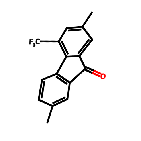 Cc1ccc2c(c1)C(=O)c1cc(C)cc(C(F)(F)F)c1-2